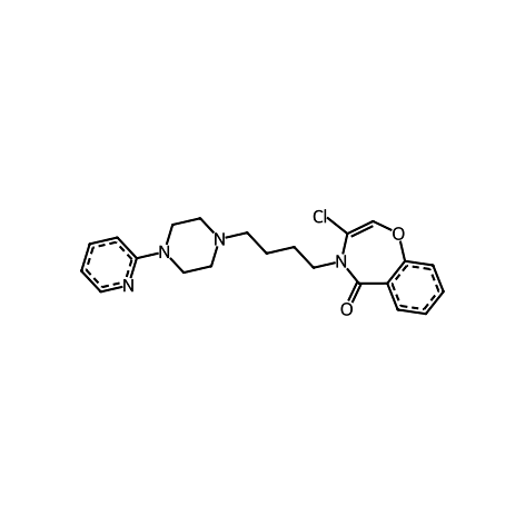 O=C1c2ccccc2OC=C(Cl)N1CCCCN1CCN(c2ccccn2)CC1